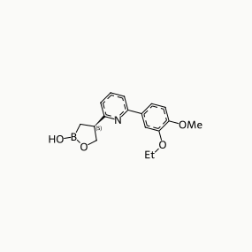 CCOc1cc(-c2cccc([C@H]3COB(O)C3)n2)ccc1OC